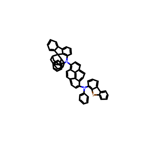 c1ccc(N(c2cccc3c2C2(c4ccccc4-3)C3CC4CC(C3)CC2C4)c2ccc3ccc4c(N(c5ccccc5)c5cccc6c5sc5ccccc56)ccc5ccc2c3c54)cc1